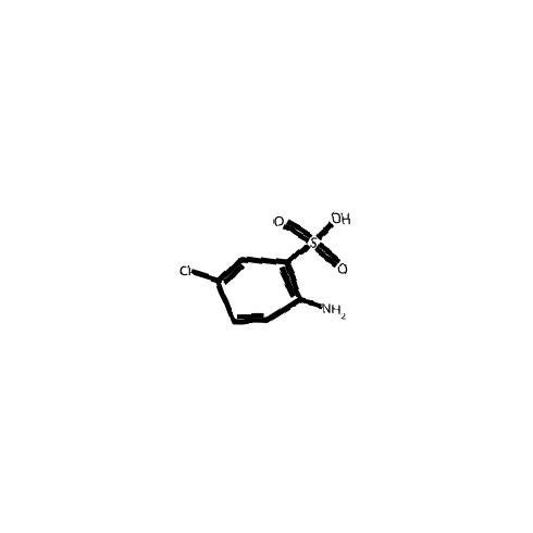 Nc1ccc(Cl)cc1S(=O)(=O)O